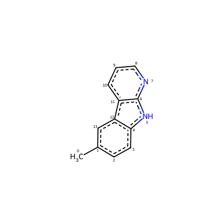 Cc1ccc2[nH]c3ncccc3c2c1